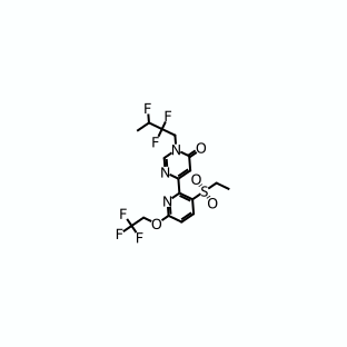 CCS(=O)(=O)c1ccc(OCC(F)(F)F)nc1-c1cc(=O)n(CC(F)(F)C(C)F)cn1